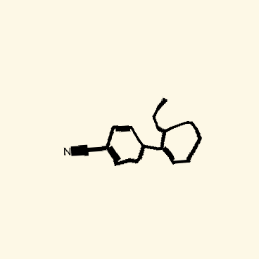 CCC1CCCC=C1C1C=CC(C#N)=CC1